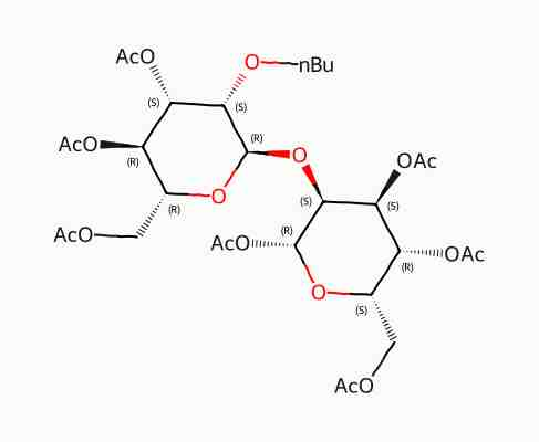 CCCCO[C@@H]1[C@@H](O[C@@H]2[C@@H](OC(C)=O)O[C@@H](COC(C)=O)[C@@H](OC(C)=O)[C@@H]2OC(C)=O)O[C@H](COC(C)=O)[C@@H](OC(C)=O)[C@@H]1OC(C)=O